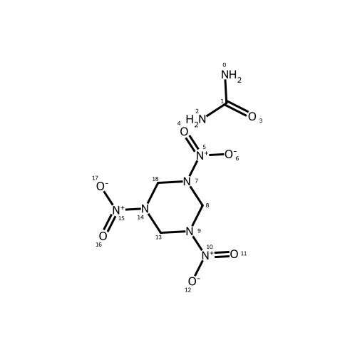 NC(N)=O.O=[N+]([O-])N1CN([N+](=O)[O-])CN([N+](=O)[O-])C1